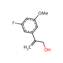 C=C(CO)c1cc(F)cc(OC)c1